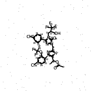 CC(=O)OC(C)c1nc(Cn2nc(-c3ccc(Cl)cc3)n(CC(O)C(F)(F)F)c2=O)nn1-c1ccc(Cl)cc1OC(F)(F)F